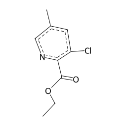 CCOC(=O)c1ncc(C)cc1Cl